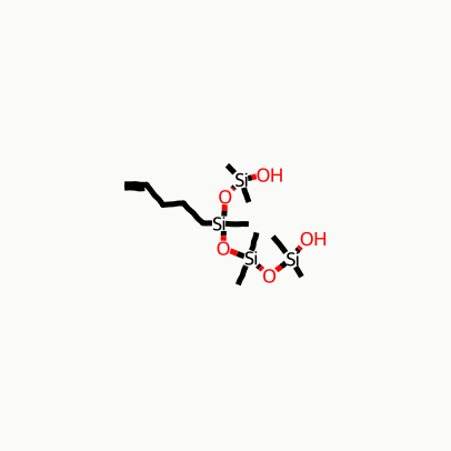 C=CCCC[Si](C)(O[Si](C)(C)O)O[Si](C)(C)O[Si](C)(C)O